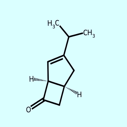 CC(C)C1=C[C@@H]2C(=O)C[C@@H]2C1